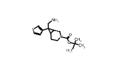 CC(C)(C)OC(=O)N1CCC2C(C1)C2(CN)c1ccsc1